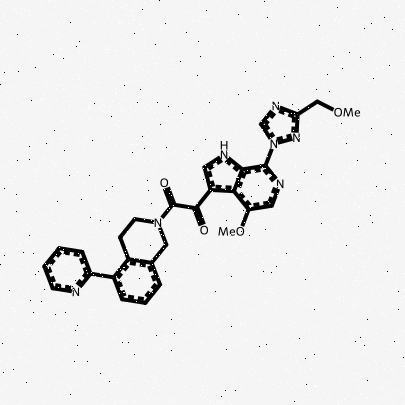 COCc1ncn(-c2ncc(OC)c3c(C(=O)C(=O)N4CCc5c(cccc5-c5ccccn5)C4)c[nH]c23)n1